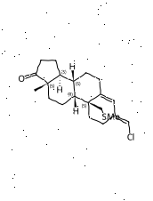 CSC[C@]12CCC(=CCl)C=C1CC[C@@H]1[C@H]2CC[C@]2(C)C(=O)CC[C@@H]12